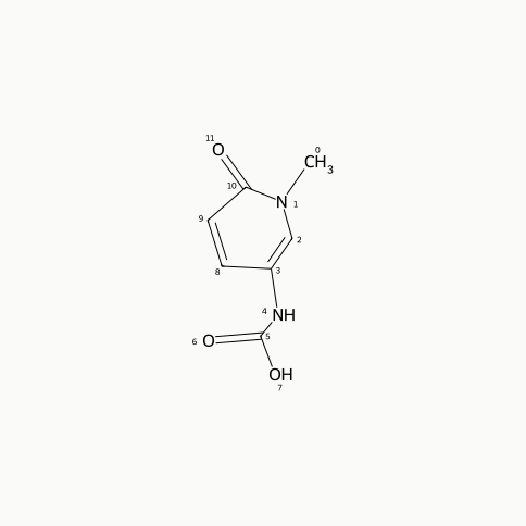 Cn1cc(NC(=O)O)ccc1=O